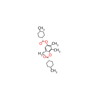 Cc1cc(OC(=O)[C@H]2CC[C@H](C)CC2)c(C)c(C)c1OC(=O)[C@H]1CC[C@H](C)CC1